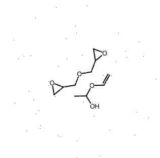 C(OCC1CO1)C1CO1.C=COC(C)O